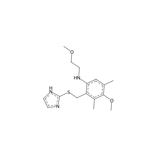 COCCNc1cc(C)c(OC)c(C)c1CSc1ncc[nH]1